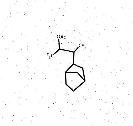 CC(=O)OC(C(C1CC2CCC1C2)C(F)(F)F)C(F)(F)F